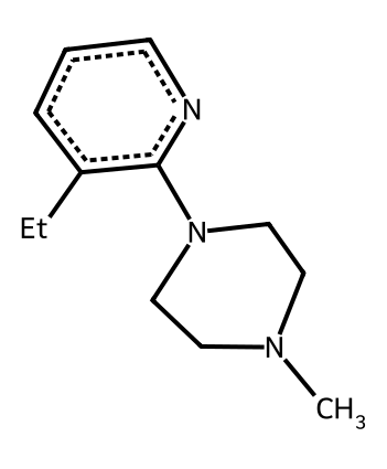 CCc1cccnc1N1CCN(C)CC1